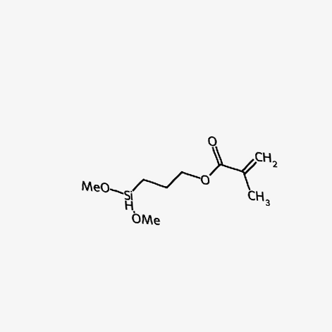 C=C(C)C(=O)OCCC[SiH](OC)OC